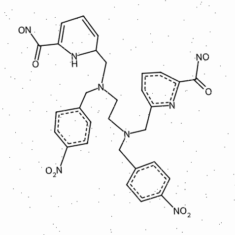 O=NC(=O)C1=CC=CC(CN(CCN(Cc2ccc([N+](=O)[O-])cc2)Cc2cccc(C(=O)N=O)n2)Cc2ccc([N+](=O)[O-])cc2)N1